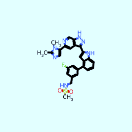 Cc1ncc(-c2cc3c(-c4cc5c(-c6cc(F)cc(CNS(C)(=O)=O)c6)cccc5[nH]4)n[nH]c3cn2)n1C